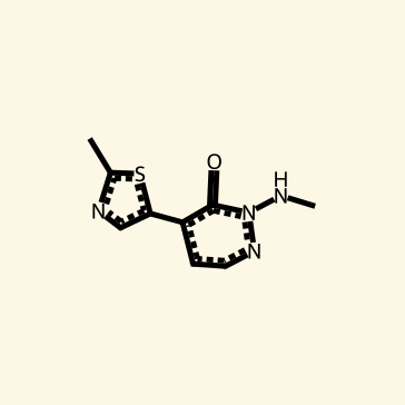 CNn1nccc(-c2cnc(C)s2)c1=O